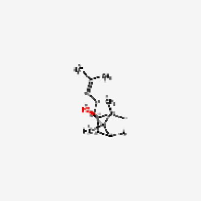 CC(C)=CCCC1(C)C2CCC1(C)[C@H](O)C2